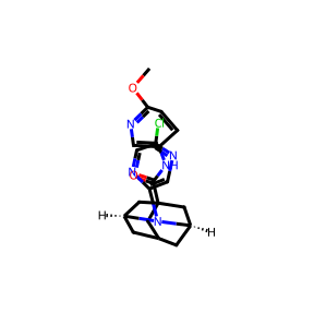 COc1ccc(NC(=O)C23CC4C[C@H](C2)N(c2cnc(Cl)cn2)[C@@H](C4)C3)cn1